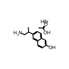 Br.CC(=O)O.CC(CN)c1ccc2cc(O)ccc2c1